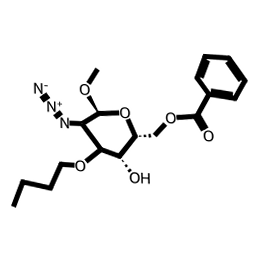 CCCCOC1C(N=[N+]=[N-])[C@@H](OC)O[C@H](COC(=O)c2ccccc2)[C@@H]1O